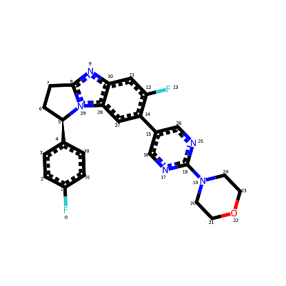 Fc1ccc([C@H]2CCc3nc4cc(F)c(-c5cnc(N6CCOCC6)nc5)cc4n32)cc1